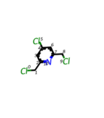 ClCc1cc(Cl)cc(CCl)n1